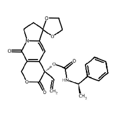 C=C[C@@]1(OC(=O)N[C@H](C)c2ccccc2)C(=O)OCc2c1cc1n(c2=O)CCC12OCCO2